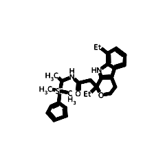 CCc1cccc2c3c([nH]c12)C(CC)(CC(=O)NC(C)[Si](C)(C)c1ccccc1)OCC3